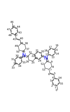 Cc1ccc(/C=C/C2CCC(N(c3ccc(C)cc3)c3ccc4c(c3)CCC(N(c3ccc(C)cc3)C3CCC(/C=C/c5ccc(C)cc5)CC3)C4)CC2)cc1